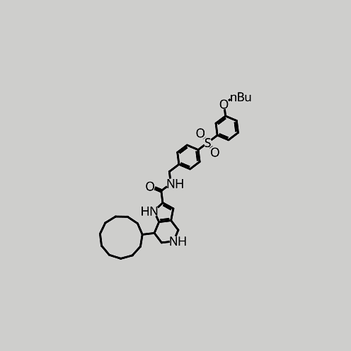 CCCCOc1cccc(S(=O)(=O)c2ccc(CNC(=O)c3cc4c([nH]3)C(C3CCCCCCCCCC3)CNC4)cc2)c1